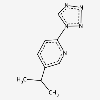 CC(C)c1ccc(-n2cnnn2)nc1